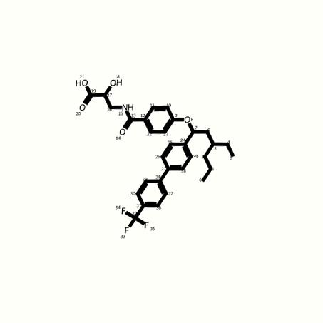 CCCC(CC)CC(Oc1ccc(C(=O)NCC(O)C(=O)O)cc1)c1ccc(-c2ccc(C(F)(F)F)cc2)cc1